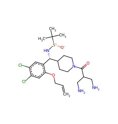 C=CCOc1cc(Cl)c(Cl)cc1[C@H](N[S@@+]([O-])C(C)(C)C)C1CCN(C(=O)C(CN)CN)CC1